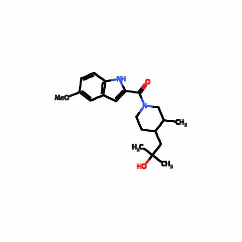 COc1ccc2[nH]c(C(=O)N3CCC(CC(C)(C)O)C(C)C3)cc2c1